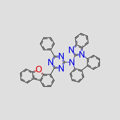 c1ccc(-c2nc(-c3cccc4c3oc3ccccc34)nc(N3c4ccccc4-c4ccccc4-n4c3nc3ccccc34)n2)cc1